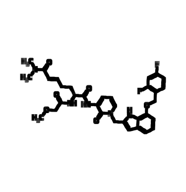 COCC(=O)N[C@@H](CC/C=C/C(=O)N(C)C)C(=O)Nc1cccn(Cc2cc3cccc(OCc4ccc(F)cc4F)c3[nH]2)c1=O